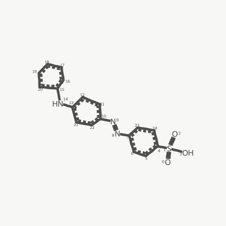 O=S(=O)(O)c1ccc(/N=N/c2ccc(Nc3ccccc3)cc2)cc1